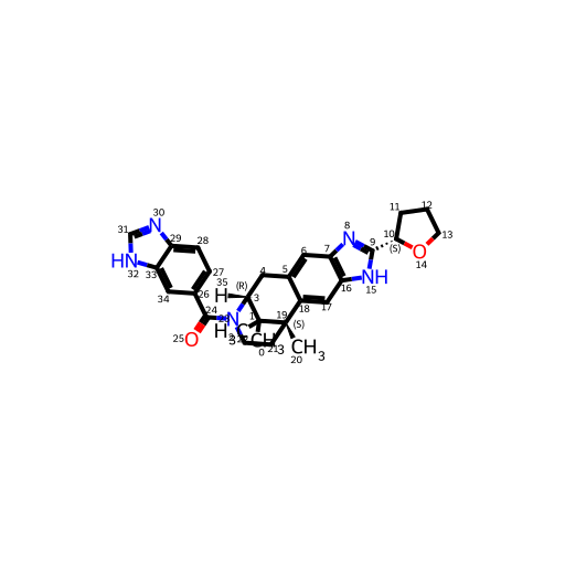 CC1(C)[C@H]2Cc3cc4nc([C@@H]5CCCO5)[nH]c4cc3[C@]1(C)CCN2C(=O)c1ccc2nc[nH]c2c1